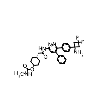 CNC(=O)O[C@H]1CC[C@H](CC(=O)Nc2cc(-c3ccccc3)c(-c3ccc(C4(N)CC(F)(F)C4)cc3)nn2)CC1